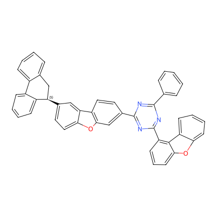 c1ccc(-c2nc(-c3ccc4c(c3)oc3ccc([C@@H]5Cc6ccccc6-c6ccccc65)cc34)nc(-c3cccc4oc5ccccc5c34)n2)cc1